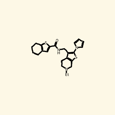 CCN1CCc2c(sc(-n3cccc3)c2CNC(=O)c2cc3c(s2)CCCC3)C1